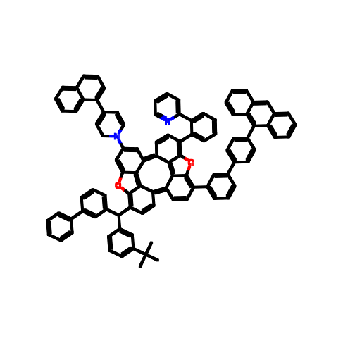 CC(C)(C)c1cccc(C(c2cccc(-c3ccccc3)c2)c2ccc3c4ccc(-c5cccc(-c6ccc(-c7c8ccccc8cc8ccccc78)cc6)c5)c5oc6c(-c7ccccc7-c7ccccn7)ccc(c7cc(N8C=CC(c9cccc%10ccccc9%10)=CC8)cc8oc2c3c87)c6c54)c1